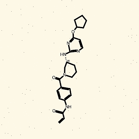 C=CC(=O)Nc1ccc(C(=O)N2CCC[C@@H](Nc3nccc(OC4CCCC4)n3)C2)cc1